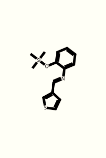 C[Si](C)(C)Oc1ccccc1/N=C/c1ccsc1